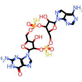 Nc1nc2c(ncn2C2OC3COP(=O)(S)OC4C(COP(=O)(S)OC2C3O)OC(n2ncc3c(N)ncnc32)C4O)c(=O)[nH]1